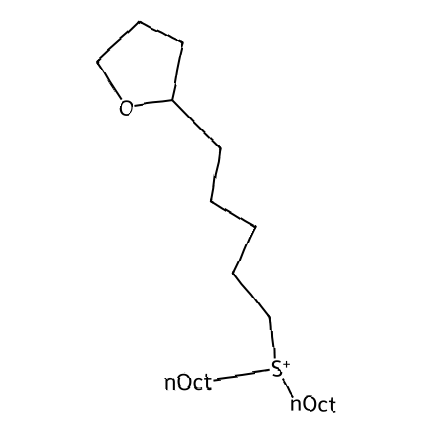 CCCCCCCC[S+](CCCCCCCC)CCCCCC1CCCO1